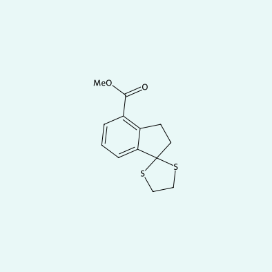 COC(=O)c1cccc2c1CCC21SCCS1